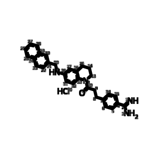 Cl.N=C(N)c1ccc(CCC(=O)N2CCCc3cc(NCc4ccc5ccccc5c4)ccc32)cc1